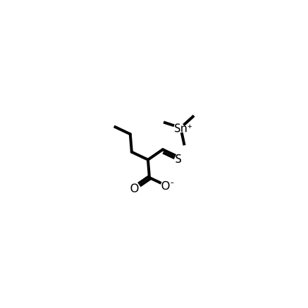 CCCC(C=S)C(=O)[O-].[CH3][Sn+]([CH3])[CH3]